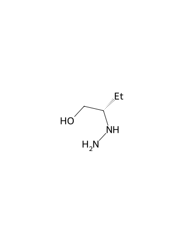 CC[C@@H](CO)NN